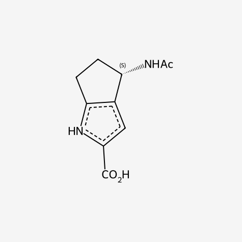 CC(=O)N[C@H]1CCc2[nH]c(C(=O)O)cc21